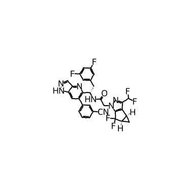 N#Cc1cccc(-c2cc3[nH]ncc3nc2[C@H](Cc2cc(F)cc(F)c2)NC(=O)Cn2nc(C(F)F)c3c2C(F)(F)[C@@H]2C[C@H]32)c1